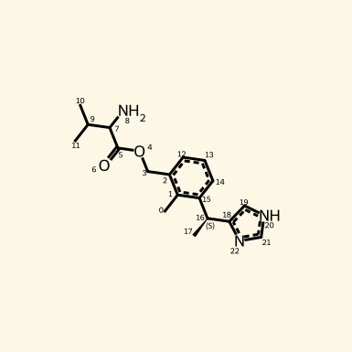 Cc1c(COC(=O)C(N)C(C)C)cccc1[C@H](C)c1c[nH]cn1